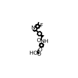 C=Nc1cc(C)c(F)cc1/C(=C\C)C1CCC2(CC1)CC2C(=O)Nc1ccc(OCC(=O)O)cc1